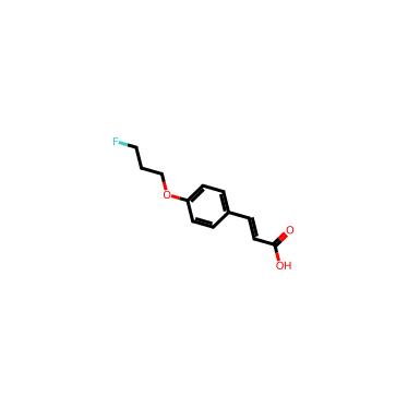 O=C(O)C=Cc1ccc(OCCCF)cc1